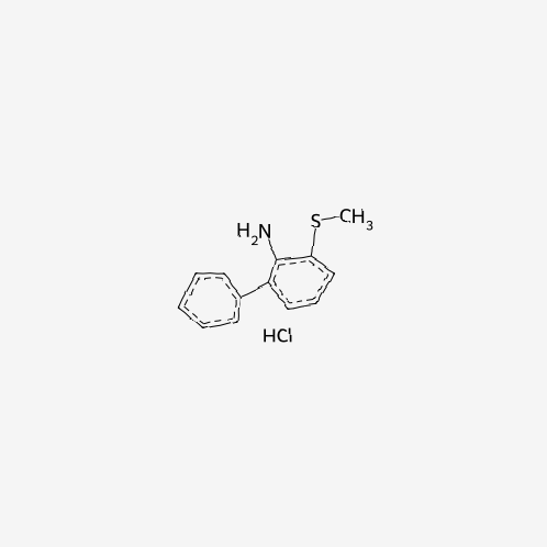 CSc1cccc(-c2ccccc2)c1N.Cl